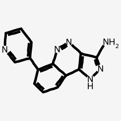 Nc1n[nH]c2c1nnc1c(-c3cccnc3)cccc12